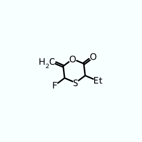 C=C1OC(=O)C(CC)SC1F